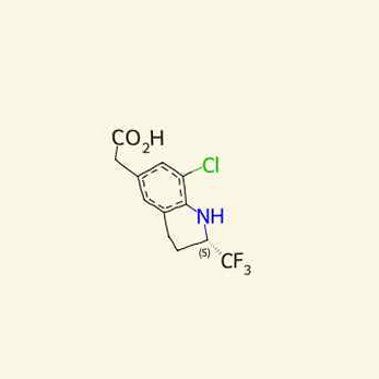 O=C(O)Cc1cc(Cl)c2c(c1)CC[C@@H](C(F)(F)F)N2